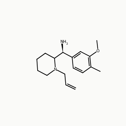 C=CCN1CCCCC1[C@@H](N)c1ccc(C)c(OC)c1